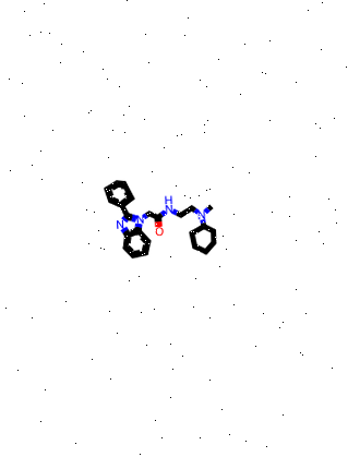 CN(CCNC(=O)Cn1c(-c2ccccc2)nc2ccccc21)C1CCCCC1